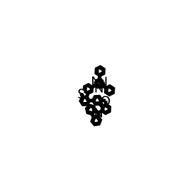 c1ccc(-c2nc(-c3ccccc3)nc(-c3ccc4sc5cccc(-c6ccc7oc8cccc(-n9c%10ccccc%10c%10ccccc%109)c8c7c6)c5c4c3)n2)cc1